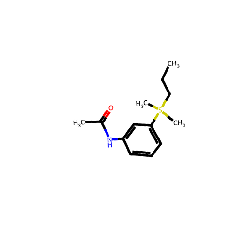 CCCS(C)(C)c1cccc(NC(C)=O)c1